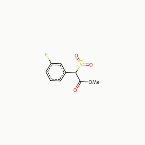 COC(=O)C(c1cccc(F)c1)[SH](=O)=O